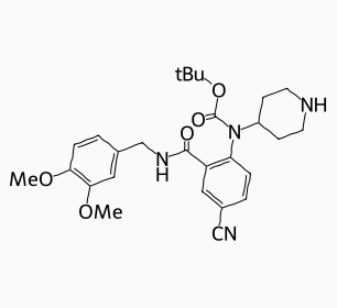 COc1ccc(CNC(=O)c2cc(C#N)ccc2N(C(=O)OC(C)(C)C)C2CCNCC2)cc1OC